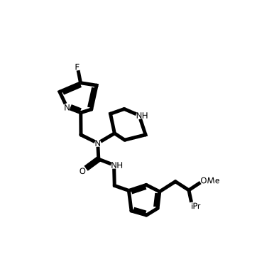 COC(Cc1cccc(CNC(=O)N(Cc2ccc(F)cn2)C2CCNCC2)c1)C(C)C